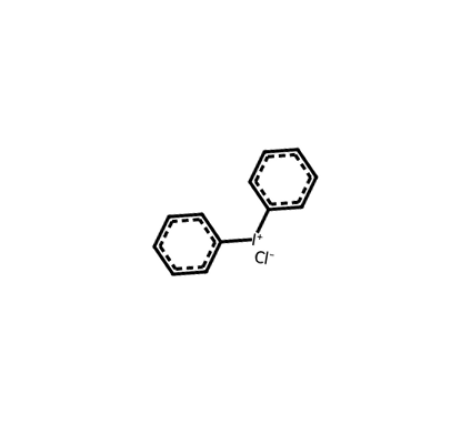 [Cl-].c1ccc([I+]c2ccccc2)cc1